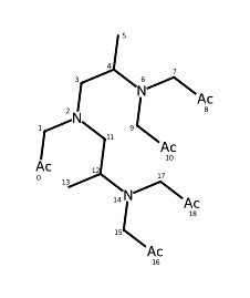 CC(=O)CN(CC(C)N(CC(C)=O)CC(C)=O)CC(C)N(CC(C)=O)CC(C)=O